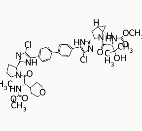 COC(=O)N[C@H](C(=O)N1[C@H](C)CC[C@H]1c1nc(Cl)c(-c2ccc(-c3ccc(-c4[nH]c([C@@H]5C[C@H]6C[C@H]6N5C(=O)[C@@H](NC(=O)OC)C(C)(C)O)nc4Cl)cc3)cc2)[nH]1)C1CCOCC1